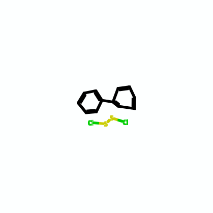 ClSSCl.c1ccc(-c2ccccc2)cc1